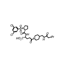 CC(C)CC(=O)NCC1CCN(C(=O)CC[C@H](NC(=O)[C@@H]2CCCN2S(=O)(=O)c2cc(Cl)cc(Cl)c2)C(=O)O)CC1